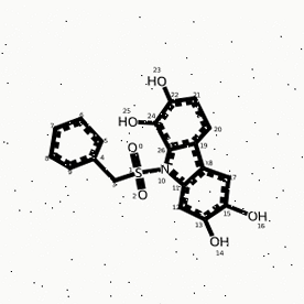 O=S(=O)(Cc1ccccc1)n1c2cc(O)c(O)cc2c2ccc(O)c(O)c21